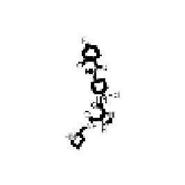 Cl.O=C(Nc1ccc(NC(=O)c2nc[nH]c2C(=O)NCC2CCCN2)cc1)c1ccc(F)cc1Cl